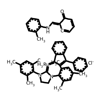 Cc1cc(C)c(N2CCN(c3c(C)cc(C)cc3C)[C]2=[Ru]=[C]2C=C(c3ccccc3)c3ccccc32)c(C)c1.Cc1ccccc1NC=C1[C-]=CC=CC1=O.[Cl-]